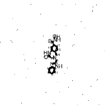 O=C1CN(Cc2nc3ccccc3[nH]2)Cc2ccc(C(=O)NO)cc2N1